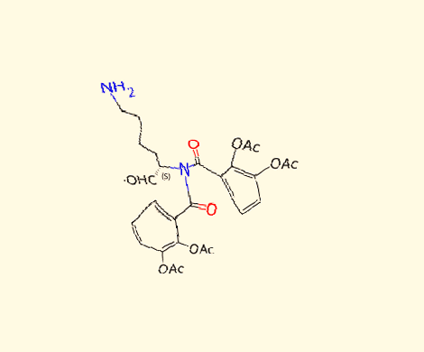 CC(=O)Oc1cccc(C(=O)N(C(=O)c2cccc(OC(C)=O)c2OC(C)=O)[C@H]([C]=O)CCCCN)c1OC(C)=O